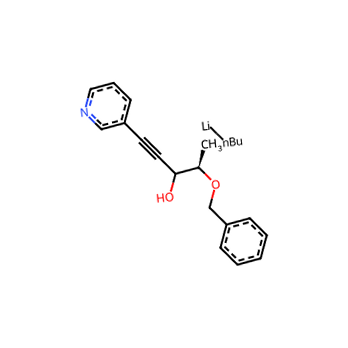 C[C@@H](OCc1ccccc1)C(O)C#Cc1cccnc1.[Li][CH2]CCC